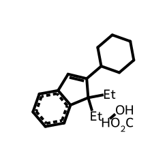 CCC1(CC)C(C2CCCCC2)=Cc2ccccc21.O=C(O)O